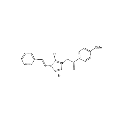 CCc1n(N=Cc2ccccc2)cc[n+]1CC(=O)c1ccc(OC)cc1.[Br-]